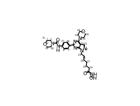 C[C@@H]1CN(C(=O)Nc2ccc(-c3nc(N4CCOCC4)c4cnn(CCCCCCC(=O)NO)c4n3)cc2)CCO1